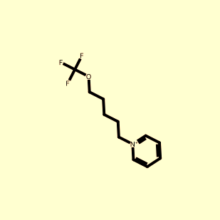 FC(F)(F)OCCCCC[n+]1ccccc1